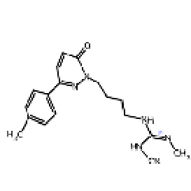 C/N=C(\NC#N)NCCCCn1nc(-c2ccc(C)cc2)ccc1=O